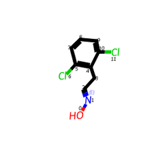 O/N=C/Cc1c(Cl)cccc1Cl